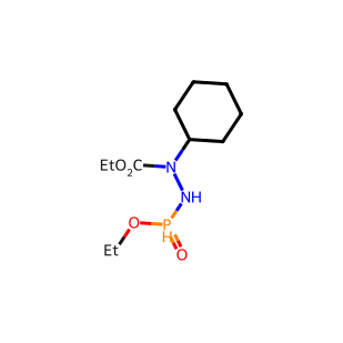 CCOC(=O)N(N[PH](=O)OCC)C1CCCCC1